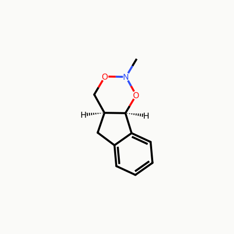 CN1OC[C@@H]2Cc3ccccc3[C@@H]2O1